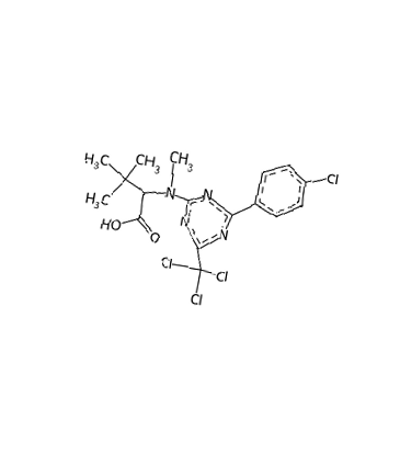 CN(c1nc(-c2ccc(Cl)cc2)nc(C(Cl)(Cl)Cl)n1)C(C(=O)O)C(C)(C)C